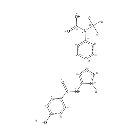 COc1ccc(C(=O)Nc2cc(-c3ccc(N(C(=O)O)C(C)(C)C)cc3)nn2C)cc1